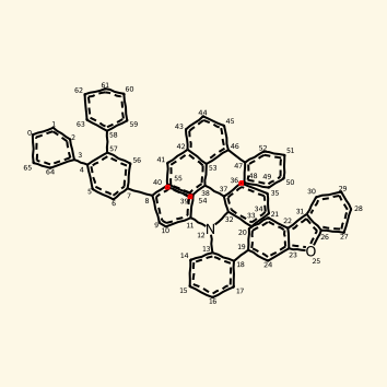 c1ccc(-c2ccc(-c3ccc(N(c4ccccc4-c4ccc5c(c4)oc4ccccc45)c4ccccc4-c4cccc5cccc(-c6ccccc6)c45)cc3)cc2-c2ccccc2)cc1